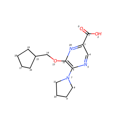 O=C(O)c1cnc(N2CCCC2)c(OCC2CCCC2)n1